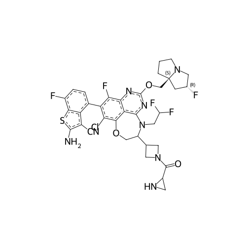 N#Cc1c(N)sc2c(F)ccc(-c3c(Cl)c4c5c(nc(OC[C@@]67CCCN6C[C@H](F)C7)nc5c3F)N(CC(F)F)C(C3CN(C(=O)C5CN5)C3)CO4)c12